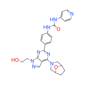 O=C(Nc1ccncc1)Nc1ccc(-c2nc(N3CC4CCC(C3)O4)c3cnn(CCO)c3n2)cc1